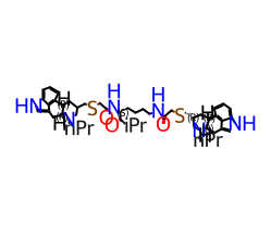 CCCN1CC(CSCC(=O)N[C@@H](CCCCNC(=O)CSC[C@@H]2C[C@@H]3c4cccc5[nH]cc(c45)C[C@H]3N(CCC)C2)C(=O)C(C)C)C[C@@H]2c3cccc4[nH]cc(c34)C[C@H]21